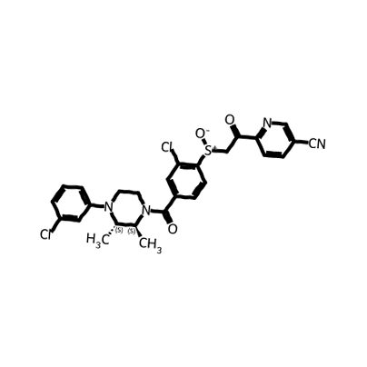 C[C@H]1[C@H](C)N(c2cccc(Cl)c2)CCN1C(=O)c1ccc([S+]([O-])CC(=O)c2ccc(C#N)cn2)c(Cl)c1